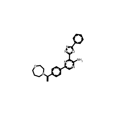 C=C(c1ccc(-c2cnc(N)c(-c3nnc(-c4ccccc4)o3)n2)cc1)N1CCCOCC1